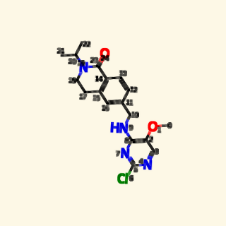 COc1cnc(Cl)nc1NCc1ccc2c(c1)CCN(C(C)C)C2=O